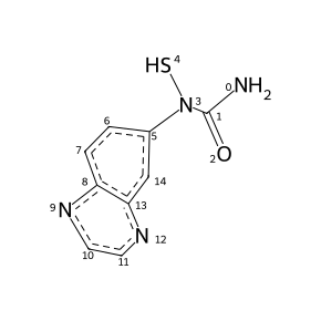 NC(=O)N(S)c1ccc2nccnc2c1